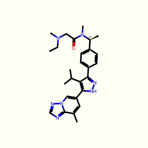 CCN(C)CC(=O)N(C)[C@@H](C)c1ccc(-c2n[nH]c(-c3cc(C)c4ncnn4c3)c2C(C)C)cc1